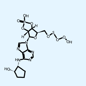 O=P1(O)O[C@@H]2[C@H](O1)[C@@H](COSOOO)O[C@H]2n1cnc2c(N[C@@H]3CCC[C@@H]3O)ncnc21